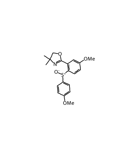 COc1ccc([S+]([O-])c2ccc(OC)cc2C2=NC(C)(C)CO2)cc1